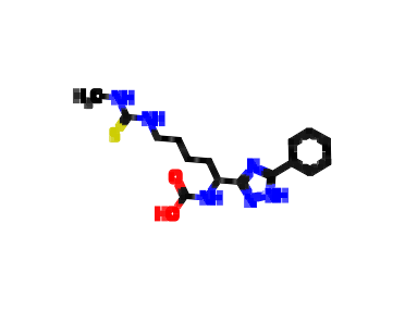 CNC(=S)NCCCCC(NC(=O)O)c1n[nH]c(-c2ccccc2)n1